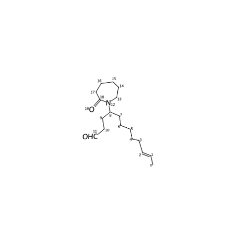 CC=CCCCCCC(CCC=O)N1CCCCCC1=O